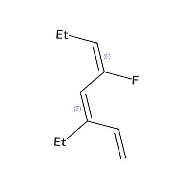 C=C/C(=C\C(F)=C/CC)CC